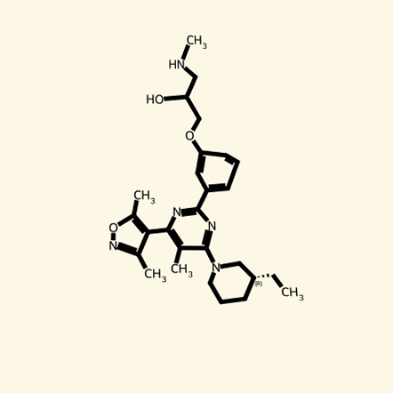 CC[C@@H]1CCCN(c2nc(-c3cccc(OCC(O)CNC)c3)nc(-c3c(C)noc3C)c2C)C1